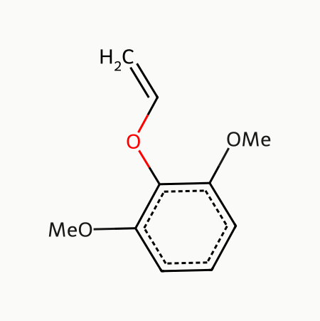 C=COc1c(OC)cccc1OC